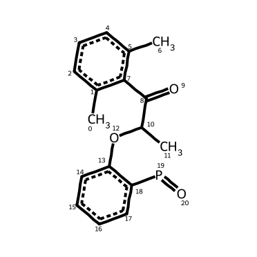 Cc1cccc(C)c1C(=O)C(C)Oc1ccccc1P=O